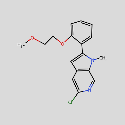 COCCOc1ccccc1-c1cc2cc(Cl)ncc2n1C